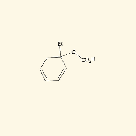 CCC1(OC(=O)O)C=CC=CC1